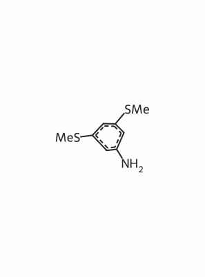 CSc1cc(N)cc(SC)c1